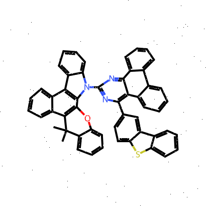 CC1(C)c2ccccc2Oc2c1c1ccccc1c1c3ccccc3n(-c3nc(-c4ccc5sc6ccccc6c5c4)c4c5ccccc5c5ccccc5c4n3)c21